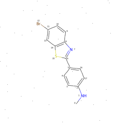 CNc1ccc(-c2nc3ccc(Br)cc3s2)cc1